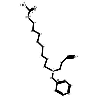 N#CCCN(CCCCCCCCNC(=O)O)Cc1ccccc1